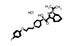 CC(C)n1nc(C(=O)N(O)C2CCN(CCCOc3ccc(F)cc3)CC2)c2ccccc21.Cl